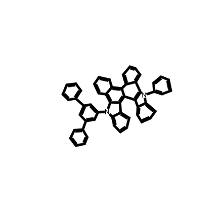 c1ccc(-c2cc(-c3ccccc3)cc(-n3c4ccccc4c4c5c(c6ccccc6c6c5c5ccccc5n6-c5ccccc5)c5ccccc5c43)c2)cc1